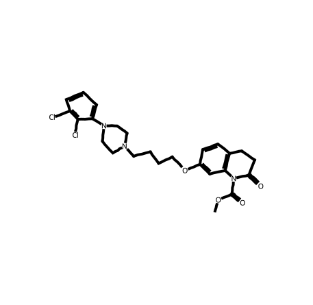 COC(=O)N1C(=O)CCc2ccc(OCCCCN3CCN(c4cccc(Cl)c4Cl)CC3)cc21